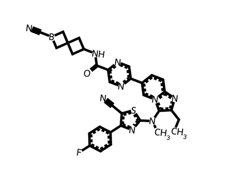 CCc1nc2ccc(-c3cnc(C(=O)NC4CC5(CB(C#N)C5)C4)cn3)cn2c1N(C)c1nc(-c2ccc(F)cc2)c(C#N)s1